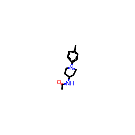 CC(=O)NC1CCN(c2ccc(C)cc2)CC1